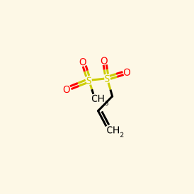 C=CCS(=O)(=O)S(C)(=O)=O